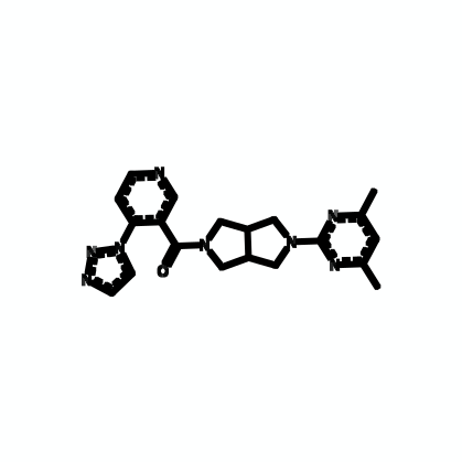 Cc1cc(C)nc(N2CC3CN(C(=O)c4cnccc4-n4ccnn4)CC3C2)n1